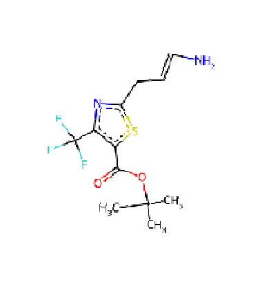 CC(C)(C)OC(=O)c1sc(CC=CN)nc1C(F)(F)F